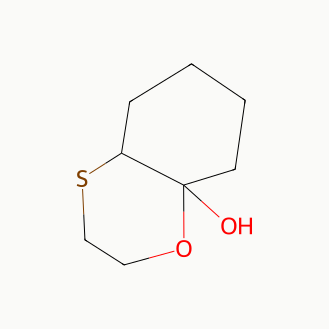 OC12CCCCC1SCCO2